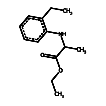 CCOC(=O)C(C)Nc1ccccc1CC